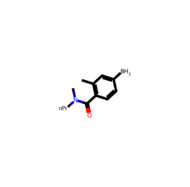 Bc1ccc(C(=O)N(C)CCC)c(C)c1